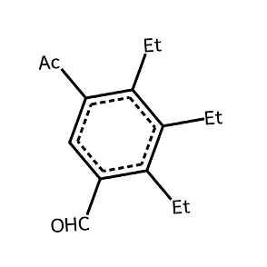 CCc1c(C=O)cc(C(C)=O)c(CC)c1CC